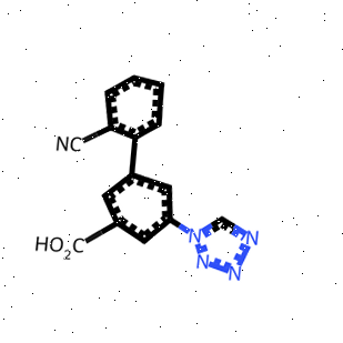 N#Cc1ccccc1-c1cc(C(=O)O)cc(-n2cnnn2)c1